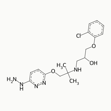 CC(C)(COc1ccc(NN)nn1)NCC(O)COc1ccccc1Cl